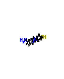 NC1CCC(C[n+]2ccn(-c3ccc(S)cc3)c2)C1